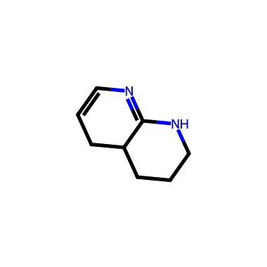 C1=CN=C2NCCCC2C1